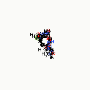 CO[C@@H](C)c1ncc(N2CCN3CCOC[C@@H]3C2)cc1-c1c2c3cc(ccc3n1CC(F)(F)F)-c1cccc(c1)C[C@H](NC(=O)[C@H](C(C)C)N1CC[C@]3(CCN(C(=O)[C@H]4[C@@H](C5CC5)N4C)C3)C1)C(=O)N1CCC[C@H](N1)C(=O)OCC(C)(C)C2